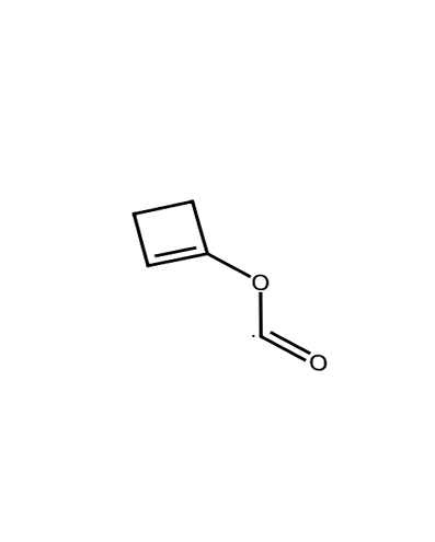 O=[C]OC1=CCC1